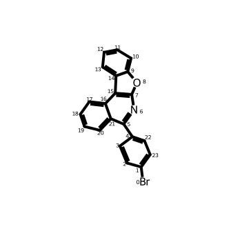 Brc1ccc(-c2nc3oc4ccccc4c3c3ccccc23)cc1